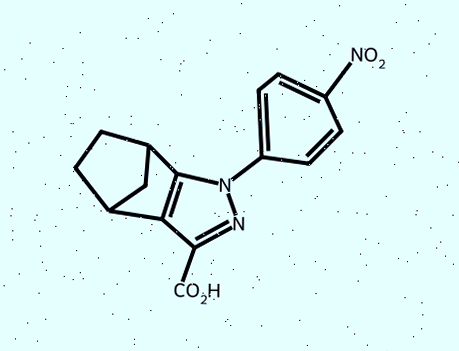 O=C(O)c1nn(-c2ccc([N+](=O)[O-])cc2)c2c1C1CCC2C1